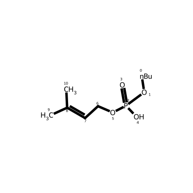 CCCCOP(=O)(O)OCC=C(C)C